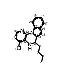 CCCCC1Nc2c(Cl)ncnc2-n2c1cc1ccccc12